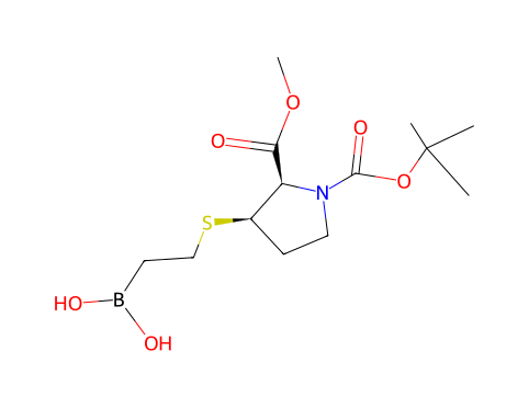 COC(=O)[C@@H]1[C@H](SCCB(O)O)CCN1C(=O)OC(C)(C)C